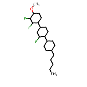 CCCCCC1CCC(C2CCC(C3CCC(OC)C(F)C3F)CC2F)CC1